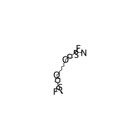 C#Cc1sc(-c2ccc(OCCCCCCCOc3ccc(-c4cc(F)c(C#N)s4)cc3)cc2)cc1F